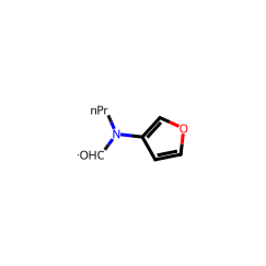 CCCN([C]=O)c1ccoc1